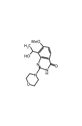 COc1ccc2c(=O)[nH]c(N3CCOCC3)nc2c1C(C)O